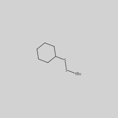 CC(C)(C)SSC1CCCCC1